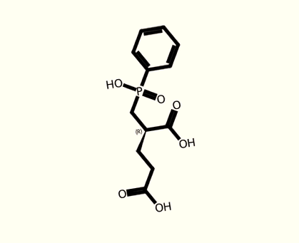 O=C(O)CC[C@@H](CP(=O)(O)c1ccccc1)C(=O)O